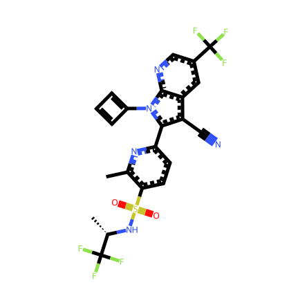 Cc1nc(-c2c(C#N)c3cc(C(F)(F)F)cnc3n2C2=CC=C2)ccc1S(=O)(=O)N[C@@H](C)C(F)(F)F